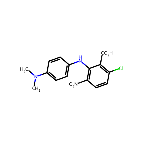 CN(C)c1ccc(Nc2c([N+](=O)[O-])ccc(Cl)c2C(=O)O)cc1